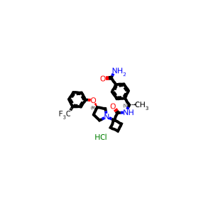 C[C@H](NC(=O)C1(N2CC[C@@H](Oc3cccc(C(F)(F)F)c3)C2)CCC1)c1ccc(C(N)=O)cc1.Cl